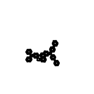 c1ccc(-c2ccc(N(c3ccc(-c4ccccc4)cc3)c3ccc4cc5c6c(cccc6c4c3)Oc3cc(N(c4ccccc4)c4ccccc4)ccc3-5)cc2)cc1